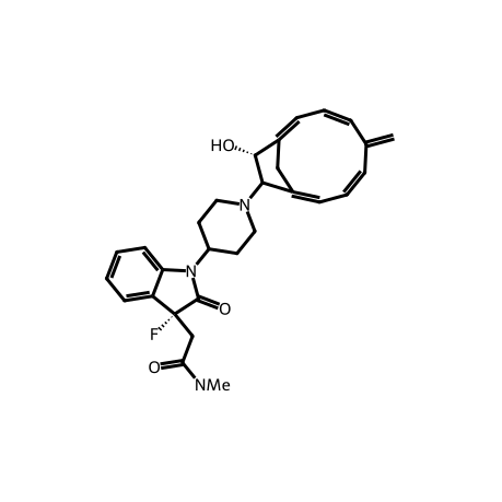 C=C1/C=C\C=C2/C/C(=C\C=C/1)[C@@H](O)C2N1CCC(N2C(=O)[C@@](F)(CC(=O)NC)c3ccccc32)CC1